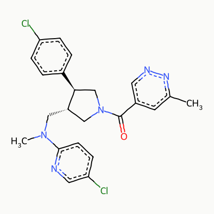 Cc1cc(C(=O)N2C[C@H](CN(C)c3ccc(Cl)cn3)[C@@H](c3ccc(Cl)cc3)C2)cnn1